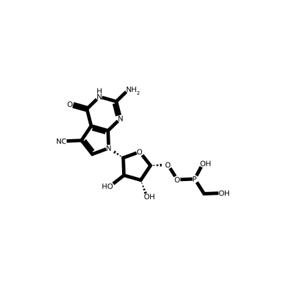 N#Cc1cn([C@@H]2O[C@H](OOP(O)CO)[C@H](O)C2O)c2nc(N)[nH]c(=O)c12